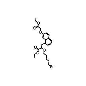 CCOC(=O)COc1ccc2cccc(CC(OCCCCCBr)C(=O)OCC)c2c1